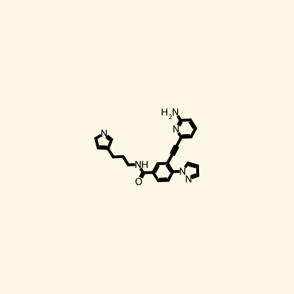 Nc1cccc(C#Cc2cc(C(=O)NCCCC3=CCN=C3)ccc2-n2cccn2)n1